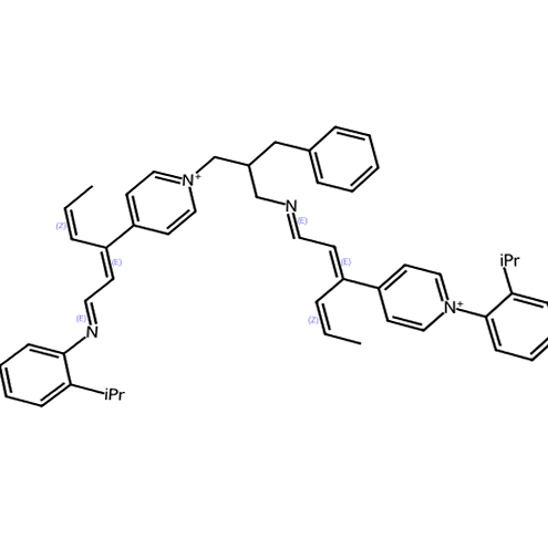 C\C=C/C(=C\C=N\c1ccccc1C(C)C)c1cc[n+](CC(C/N=C/C=C(\C=C/C)c2cc[n+](-c3ccccc3C(C)C)cc2)Cc2ccccc2)cc1